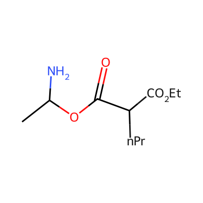 CCCC(C(=O)OCC)C(=O)OC(C)N